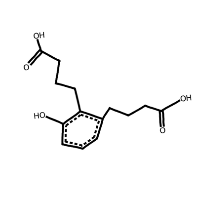 O=C(O)CCCc1cccc(O)c1CCCC(=O)O